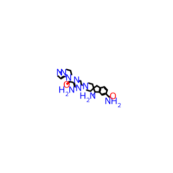 NC(=O)c1ccc2c(c1)[C@@H](N)C1(CCN(c3cnc(C(=O)N4CCCn5nccc54)c(N)n3)CC1)C2